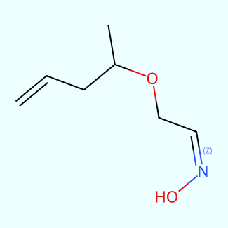 C=CCC(C)OC/C=N\O